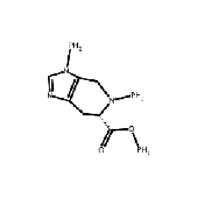 O=C(OP)[C@@H]1Cc2ncn(P)c2CN1P